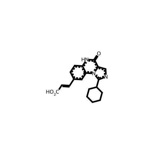 O=C(O)C=Cc1ccc2[nH]c(=O)c3cnc(C4CCCCC4)n3c2c1